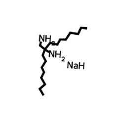 CCCCCCCCC(N)(CN)CCCCCCCC.[NaH]